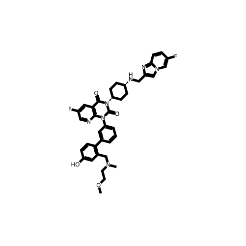 COCCN(C)Cc1cc(O)ccc1-c1cccc(-n2c(=O)n([C@H]3CC[C@@H](NCc4cn5cc(F)ccc5n4)CC3)c(=O)c3cc(F)cnc32)c1